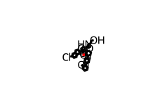 O=C(CN(C1CCCN(c2ccc(-n3ccccc3=O)cc2)C1=O)S(=O)(=O)c1ccc2cc(Cl)ccc2c1)NCCO